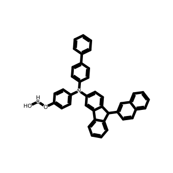 OBOc1ccc(N(c2ccc(-c3ccccc3)cc2)c2ccc3c(c2)-c2ccccc2C3c2ccc3ccccc3c2)cc1